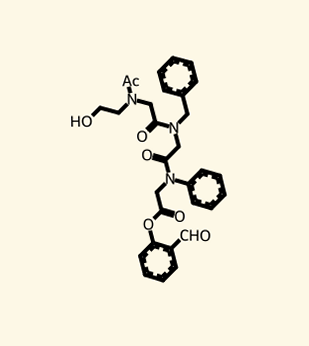 CC(=O)N(CCO)CC(=O)N(CC(=O)N(CC(=O)Oc1ccccc1C=O)c1ccccc1)Cc1ccccc1